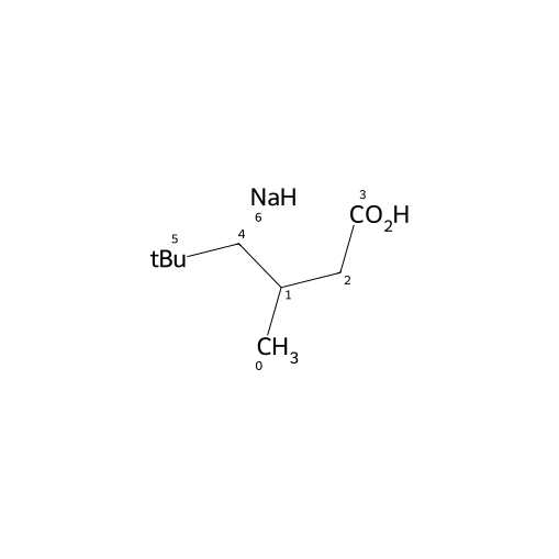 CC(CC(=O)O)CC(C)(C)C.[NaH]